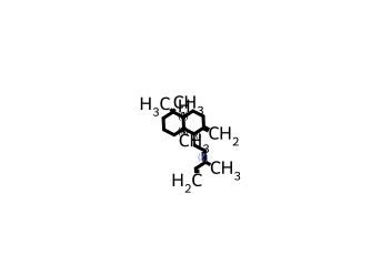 C=C/C(C)=C\C[C@@H]1C(=C)CC[C@@H]2C(C)(C)CCC[C@@]12C